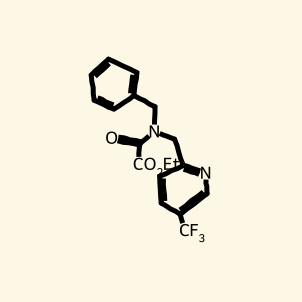 CCOC(=O)C(=O)N(Cc1ccccc1)Cc1ccc(C(F)(F)F)cn1